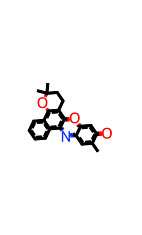 Cc1cc2nc3c(oc-2cc1=O)c1c(c2ccccc23)OC(C)(C)CC1